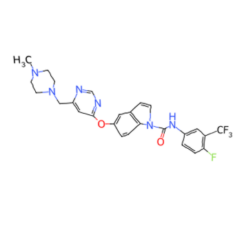 CN1CCN(Cc2cc(Oc3ccc4c(ccn4C(=O)Nc4ccc(F)c(C(F)(F)F)c4)c3)ncn2)CC1